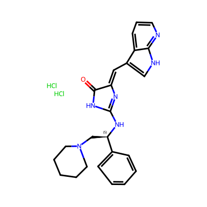 Cl.Cl.O=C1NC(N[C@H](CN2CCCCC2)c2ccccc2)=NC1=Cc1c[nH]c2ncccc12